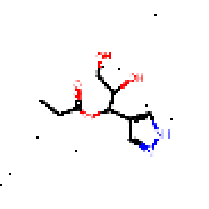 CCC(=O)OC(c1[c]n[nH]c1)C(O)CO